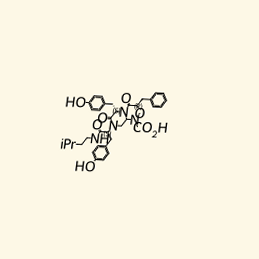 CC(C)CCNC(=O)[C@H](Cc1ccc(O)cc1)N1CC2N(C(=O)O)O[C@H](Cc3ccccc3)C(=O)N2[C@@H](Cc2ccc(O)cc2)C1=O